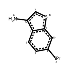 CC(C)c1ccc2c(N)csc2c1